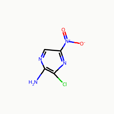 Nc1ncc([N+](=O)[O-])nc1Cl